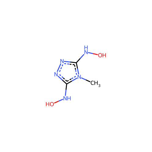 Cn1c(NO)nnc1NO